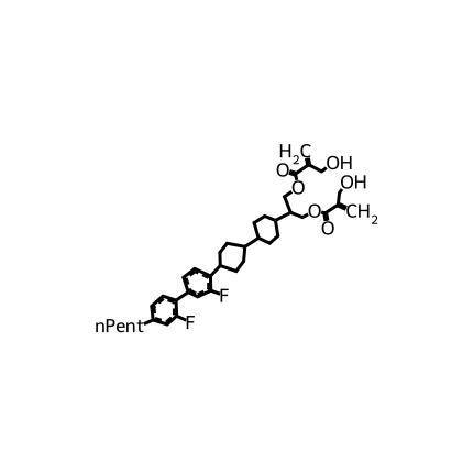 C=C(CO)C(=O)OCC(COC(=O)C(=C)CO)C1CCC(C2CCC(c3ccc(-c4ccc(CCCCC)cc4F)cc3F)CC2)CC1